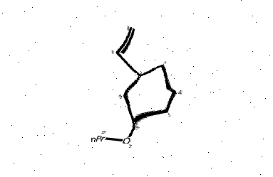 C=CC1CCCC(OCCC)C1